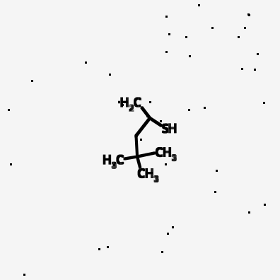 [CH2]C(S)CC(C)(C)C